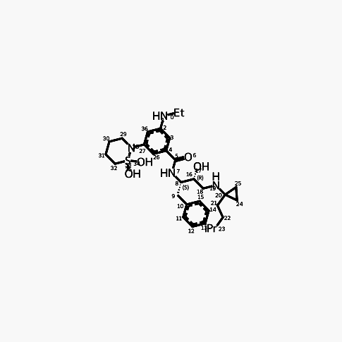 CCNc1cc(C(=O)N[C@@H](Cc2ccccc2)[C@H](O)CNC2(CCC(C)C)CC2)cc(N2CCCCS2(O)O)c1